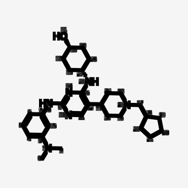 CN(C)c1cccc(Nc2ncc(C3CCN(CC4CCCC4)CC3)c(N[C@H]3CC[C@H](O)CC3)n2)c1